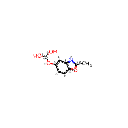 Cc1nc2cc(OB(O)O)ccc2o1